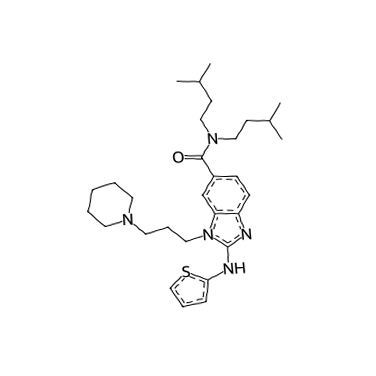 CC(C)CCN(CCC(C)C)C(=O)c1ccc2nc(Nc3cccs3)n(CCCN3CCCCC3)c2c1